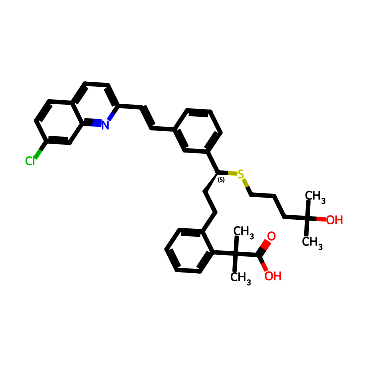 CC(C)(O)CCCS[C@@H](CCc1ccccc1C(C)(C)C(=O)O)c1cccc(C=Cc2ccc3ccc(Cl)cc3n2)c1